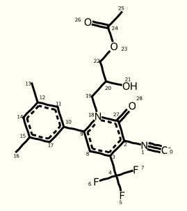 [C-]#[N+]c1c(C(F)(F)F)cc(-c2cc(C)cc(C)c2)n(CC(O)COC(C)=O)c1=O